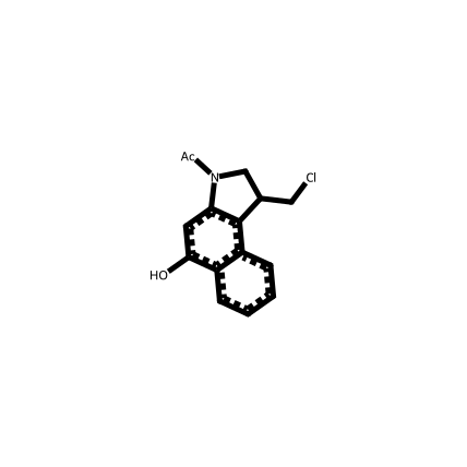 CC(=O)N1CC(CCl)c2c1cc(O)c1ccccc21